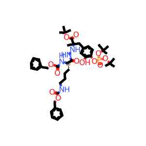 CC(C)(C)OC(=O)C(C)(Cc1ccc(OP(=O)(OC(C)(C)C)OC(C)(C)C)c(O)c1)NNC(=O)[C@H](CCCCNC(=O)OCc1ccccc1)NC(=O)OCc1ccccc1